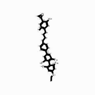 CCSc1cc(F)c(-c2c(F)cc(-c3ccc(CCCCc4cc(F)c(C5CO5)cc4C)cc3)cc2F)c(F)c1